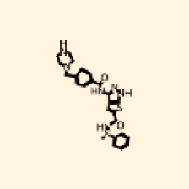 CN(NC(=O)c1cc2c(NC(=O)c3ccc(CN4CCNCC4)cc3)n[nH]c2s1)c1ccccc1